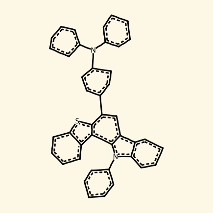 c1ccc(N(c2ccccc2)c2ccc(-c3cc4c5ccccc5n(-c5ccccc5)c4c4c3sc3ccccc34)cc2)cc1